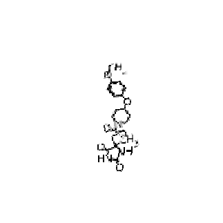 COc1ccc(OC2CCN(S(=O)(=O)CC3(C)NC(=O)NC3=O)CC2)cc1